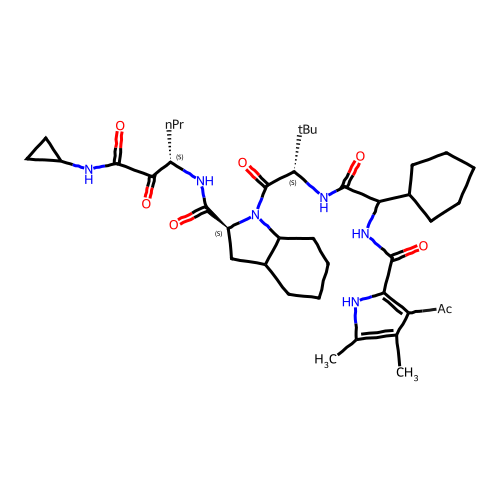 CCC[C@H](NC(=O)[C@@H]1CC2CCCCC2N1C(=O)[C@@H](NC(=O)C(NC(=O)c1[nH]c(C)c(C)c1C(C)=O)C1CCCCC1)C(C)(C)C)C(=O)C(=O)NC1CC1